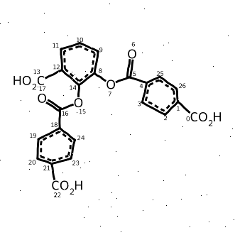 O=C(O)c1ccc(C(=O)Oc2cccc(C(=O)O)c2OC(=O)c2ccc(C(=O)O)cc2)cc1